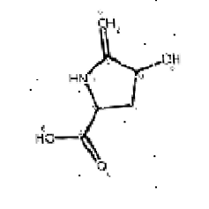 C=C1NC(C(=O)O)CC1O